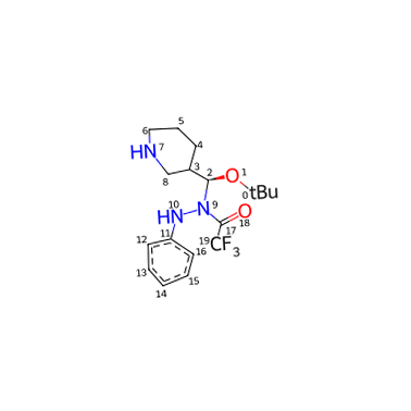 CC(C)(C)O[C@H](C1CCCNC1)N(Nc1ccccc1)C(=O)C(F)(F)F